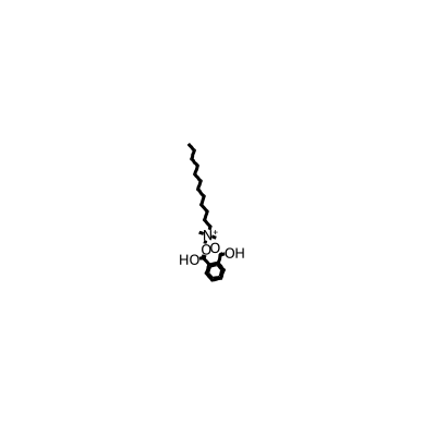 CCCCCCCCCCCC[N+](C)(C)C.O=C(O)c1ccccc1C(=O)O